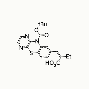 CCC(=Cc1ccc2c(c1)N(C(=O)OC(C)(C)C)c1nccnc1S2)C(=O)O